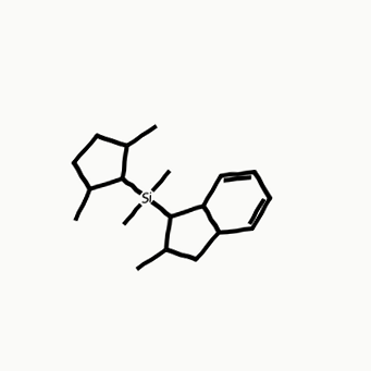 CC1CCC(C)C1[Si](C)(C)C1C(C)CC2C=CC=CC21